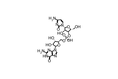 Nc1ccn([C@@H]2O[C@H](CO)[C@@H](OP(=O)(O)OC[C@H]3O[C@@H](n4cnc5c(=O)[nH]c(N)nc54)[C@H](O)[C@@H]3O)[C@H]2O)c(=O)n1